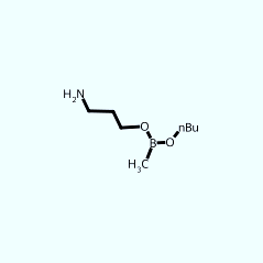 CCCCOB(C)OCCCN